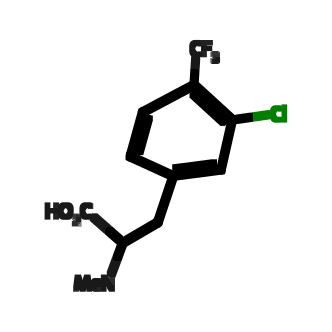 CNC(Cc1ccc(C(F)(F)F)c(Cl)c1)C(=O)O